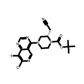 CC(C)(C)OC(=O)N1CCN(c2ncnc3c(F)c(Cl)ncc23)C[C@@H]1CC#N